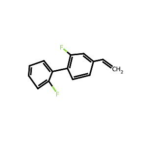 C=Cc1ccc(-c2ccccc2F)c(F)c1